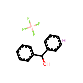 F[B-](F)(F)F.I.OC(c1ccccc1)c1ccccc1